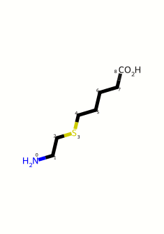 NCCSCCCCC(=O)O